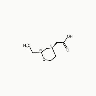 CC[C@@H]1C[C@@H](CC(=O)O)CCO1